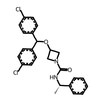 C[C@H](NC(=O)N1CC(OC(c2ccc(Cl)cc2)c2ccc(Cl)cc2)C1)c1ccccc1